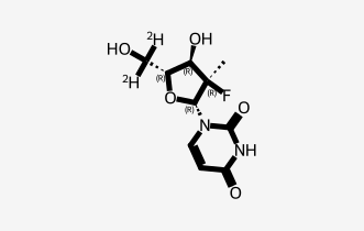 [2H]C([2H])(O)[C@H]1O[C@@H](n2ccc(=O)[nH]c2=O)[C@](C)(F)[C@@H]1O